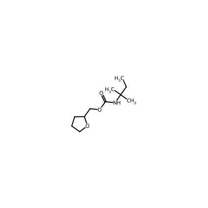 CCC(C)(C)NC(=O)OCC1CCCO1